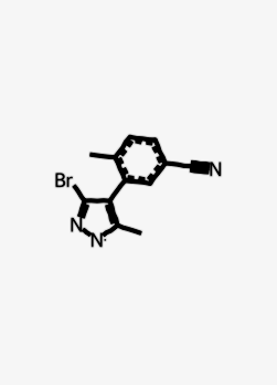 CC1=C(c2cc(C#N)ccc2C)C(Br)=N[N]1